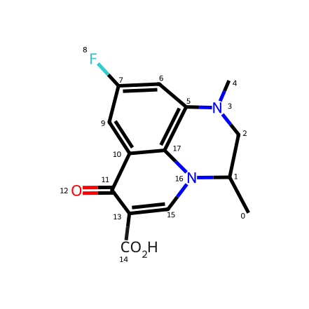 CC1CN(C)c2cc(F)cc3c(=O)c(C(=O)O)cn1c23